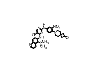 CP(C)c1c(Nc2nc(Nc3ccc(N4CCC5(CC4)CC(=O)C5)c([N+](=O)[O-])c3)ncc2Cl)ccc2ncccc12